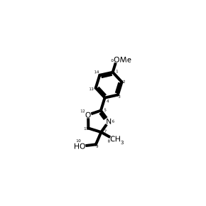 COc1ccc(C2=NC(C)(CO)CO2)cc1